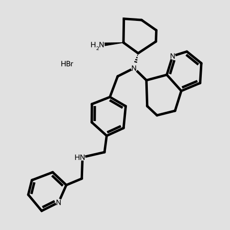 Br.N[C@H]1CCCC[C@@H]1N(Cc1ccc(CNCc2ccccn2)cc1)C1CCCc2cccnc21